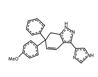 COc1ccc(C2(c3ccccc3)C=Cc3c(-c4c[nH]cn4)n[nH]c3C2)cc1